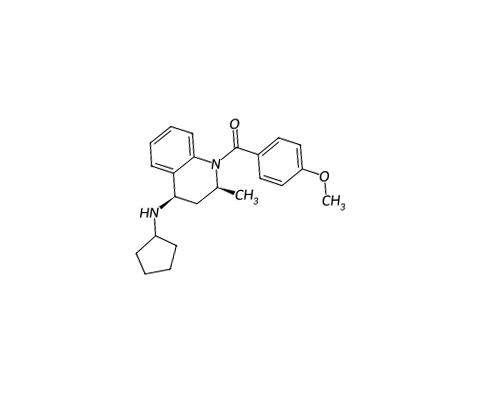 COc1ccc(C(=O)N2c3ccccc3[C@H](NC3CCCC3)C[C@@H]2C)cc1